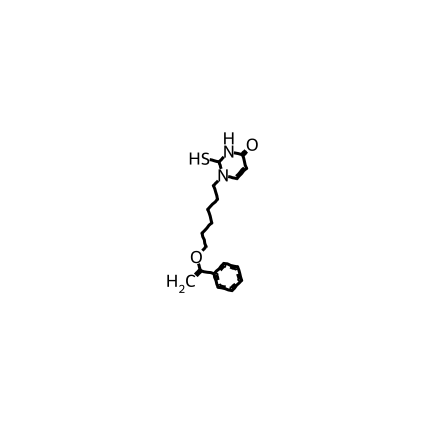 C=C(OCCCCCCN1C=CC(=O)NC1S)c1ccccc1